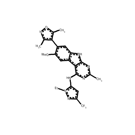 CCn1nc(C(F)(F)F)cc1Nc1nc(C)nc2[nH]c3cc(-c4c(C)noc4C)c(OC)cc3c12